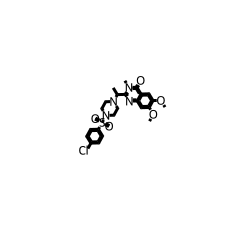 COc1cc2nc(C(C)N3CCN(S(=O)(=O)c4ccc(Cl)cc4)CC3)n(C)c(=O)c2cc1OC